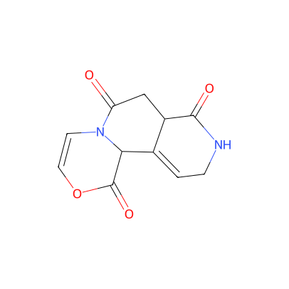 O=C1NCC=C2C1CC(=O)N1C=COC(=O)C21